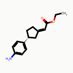 CCOC(=O)/C=C1\CC[C@@H](c2ccc(N)cc2)C1